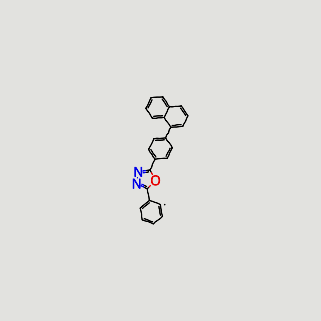 [c]1ccccc1-c1nnc(-c2ccc(-c3cccc4ccccc34)cc2)o1